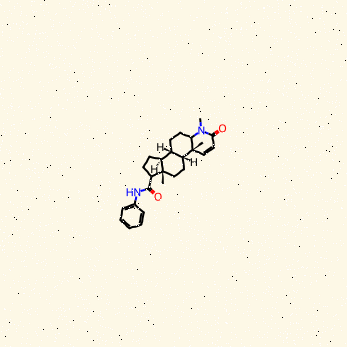 CN1C(=O)C=C[C@@]2(C)C1CC[C@@H]1[C@H]2CC[C@]2(C)C(C(=O)Nc3ccccc3)CC[C@@H]12